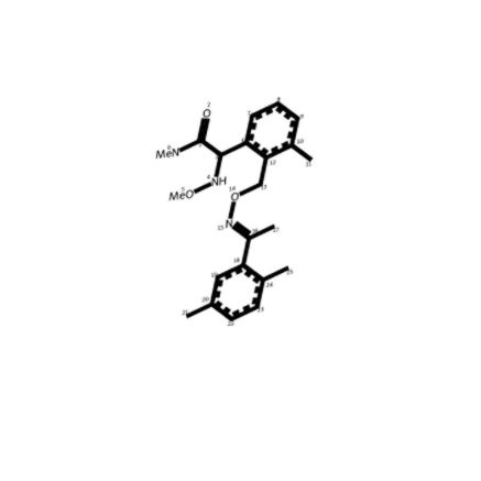 CNC(=O)C(NOC)c1cccc(C)c1CO/N=C(\C)c1cc(C)ccc1C